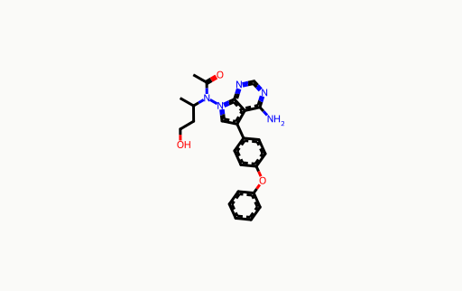 CC(=O)N(C(C)CCO)n1cc(-c2ccc(Oc3ccccc3)cc2)c2c(N)ncnc21